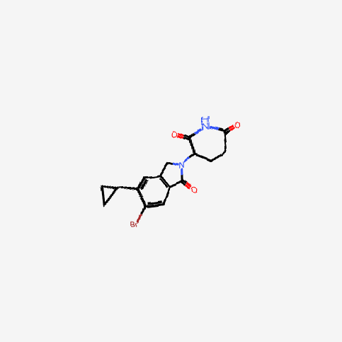 O=C1CCC(N2Cc3cc(C4CC4)c(Br)cc3C2=O)C(=O)N1